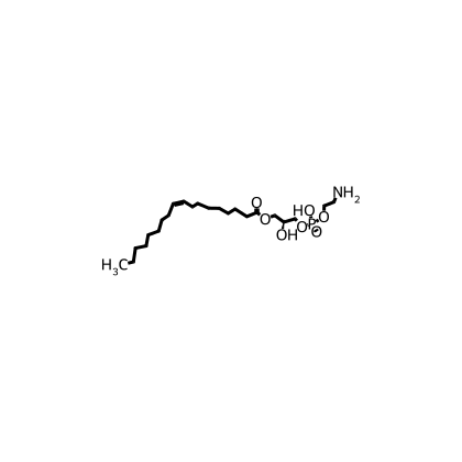 CCCCCCCC/C=C\CCCCCCCC(=O)OC[C@H](O)COP(=O)(O)OCCN